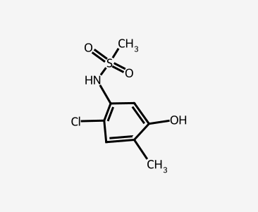 Cc1cc(Cl)c(NS(C)(=O)=O)cc1O